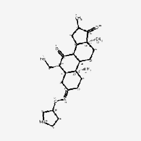 CC1CC2C3C(=O)[C@H](CO)C4CC(=NOC5CCNC5)CC[C@]4(C)C3CC[C@]2(C)C1=O